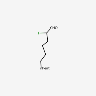 CCCCCCCCCC(F)C=O